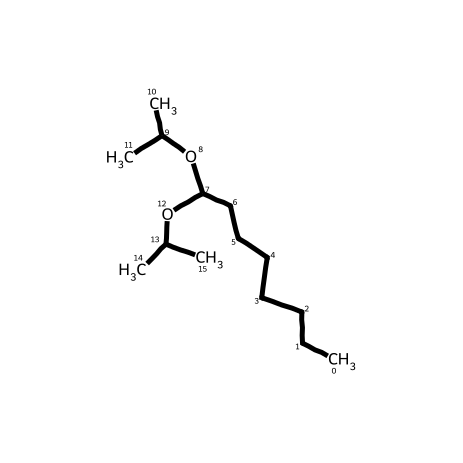 CCCCCCCC(OC(C)C)OC(C)C